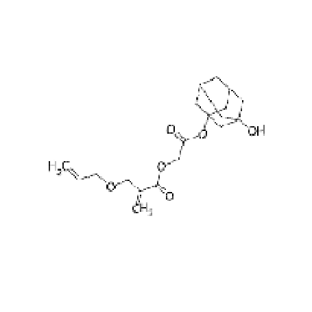 C=CCOCC(=C)C(=O)OCC(=O)OC12CC3CC(CC(O)(C3)C1)C2